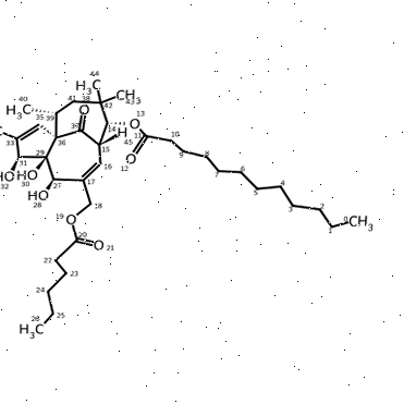 CCCCCCCCCCCC(=O)O[C@@H]1[C@@H]2C=C(COC(=O)CCCCC)[C@@H](O)[C@]3(O)[C@@H](O)C(C)=C[C@@]3(C2=O)[C@H](C)CC1(C)C